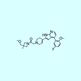 COCC1(C)CN(C(=O)CN2CC=C(c3cc4c(-c5cc(F)ccc5OC)ccnc4[nH]3)CC2)C1